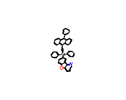 C(#C[Si](c1ccccc1)(c1ccccc1)c1ccc2oc3cccnc3c2c1)c1c2ccccc2c(-c2ccccc2)c2ccccc12